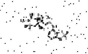 CN1C(=N)N[C@](C)(c2cc(Nc3cccc4c3OC(F)(F)O4)ccc2F)CS1(=O)=O